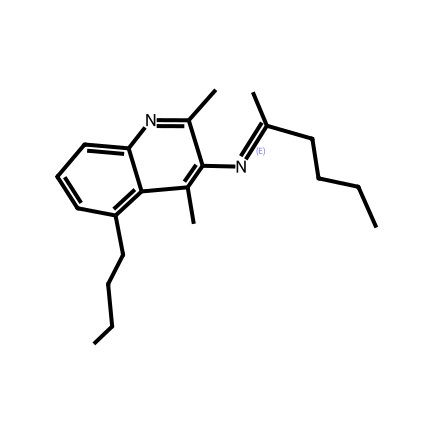 CCCC/C(C)=N/c1c(C)nc2cccc(CCCC)c2c1C